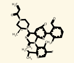 C=CC(=O)N1CCN(C2=NC(=C)N(c3c(C(C)C)ncc(F)c3C)c3nc(-c4c(F)cccc4C=O)c(Cl)cc32)[C@@H](C)C1